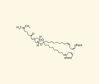 CCCCC/C=C\C/C=C\CCCCCCCCC1(CCCCCCCC/C=C\C/C=C\CCCCC)O[C@H]2C[C@H](CC(=O)CCCN(C)C)C[C@H]2O1